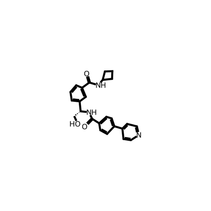 O=C(NC1CCC1)c1cccc([C@@H](CO)NC(=O)c2ccc(-c3ccncc3)cc2)c1